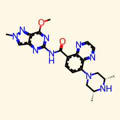 COc1nc(NC(=O)c2ccc(N3C[C@@H](C)N[C@@H](C)C3)c3nccnc23)nc2cn(C)nc12